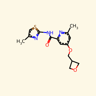 Cc1cc(OCC2COC2)cc(C(=O)Nc2nc(C)cs2)n1